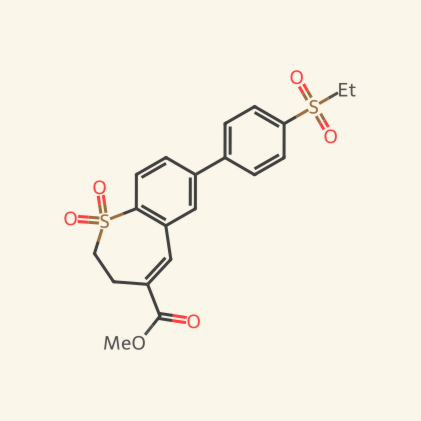 CCS(=O)(=O)c1ccc(-c2ccc3c(c2)C=C(C(=O)OC)CCS3(=O)=O)cc1